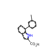 Cc1cccc(-c2cccc3cc(C(=O)O)[nH]c23)c1